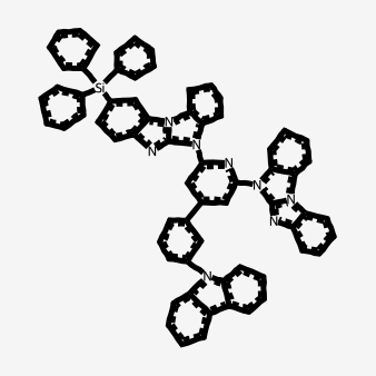 c1ccc([Si](c2ccccc2)(c2ccccc2)c2ccc3nc4n(-c5cc(-c6cccc(-n7c8ccccc8c8ccccc87)c6)cc(-n6c7ccccc7n7c8ccccc8nc67)n5)c5ccccc5n4c3c2)cc1